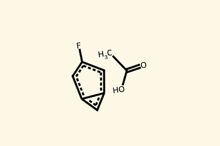 CC(=O)O.Fc1cc2cc-2c1